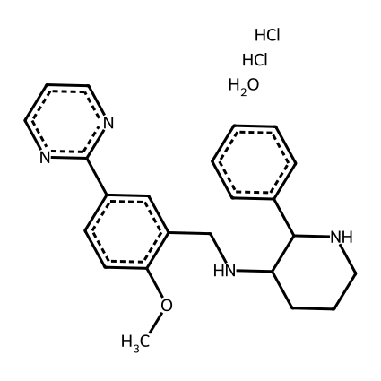 COc1ccc(-c2ncccn2)cc1CNC1CCCNC1c1ccccc1.Cl.Cl.O